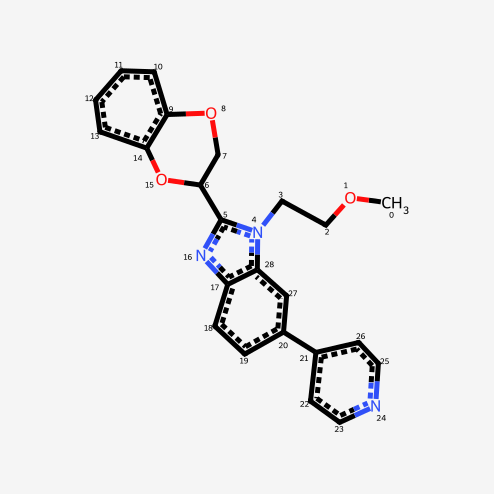 COCCn1c(C2COc3ccccc3O2)nc2ccc(-c3ccncc3)cc21